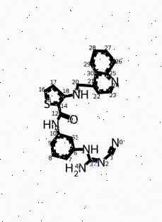 N#C/N=C(/N)Nc1cccc(NC(=O)c2sccc2NCc2ccnc3ccccc23)c1